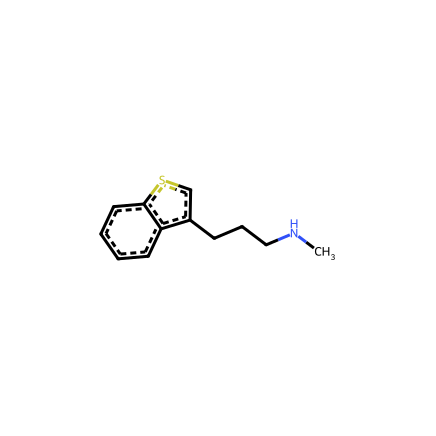 CNCCCc1csc2ccccc12